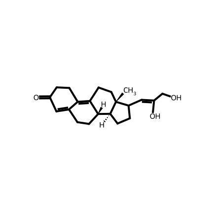 C[C@]12CCC3=C4CCC(=O)C=C4CC[C@H]3[C@@H]1CCC2/C=C(\O)CO